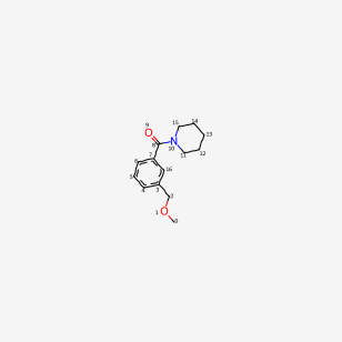 COCc1cccc(C(=O)N2CCCCC2)c1